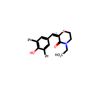 CC(C)c1cc(/C=C2/SCCN(CC(=O)O)C2=O)cc(C(C)C)c1O